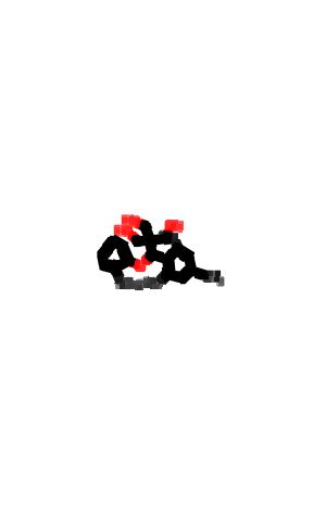 CCCCCCCCc1ccccc1OC(c1c(C(C)(C)C)cc(C)cc1C(C)(C)C)C(CO)(CO)CO